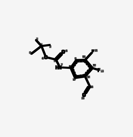 CC(C)(C)OC(=O)Nc1cc(F)c(F)c(C=O)c1